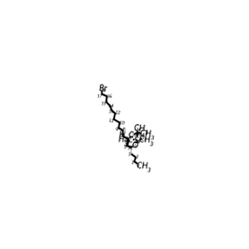 CCCC[C@H](C=CCCCCCCCCCCCBr)O[Si](C)(C)C(C)(C)C